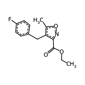 CCOC(=O)c1noc(C)c1Cc1ccc(F)cc1